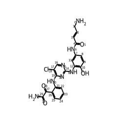 NC/C=C/C(=O)Nc1ccc(O)c(Nc2ncc(Cl)c(Nc3ccccc3C(=O)C(N)=O)n2)c1